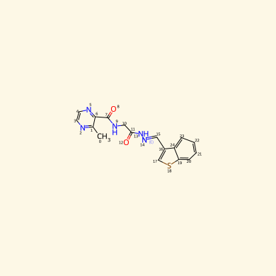 Cc1nccnc1C(=O)NCC(=O)N/N=C/c1csc2ccccc12